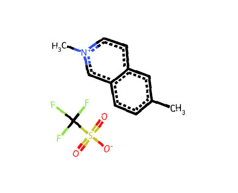 Cc1ccc2c[n+](C)ccc2c1.O=S(=O)([O-])C(F)(F)F